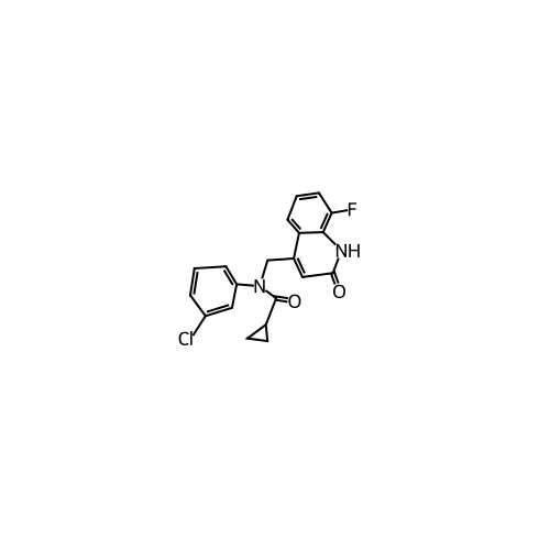 O=C(C1CC1)N(Cc1cc(=O)[nH]c2c(F)cccc12)c1cccc(Cl)c1